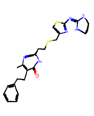 Cc1nc(CCSCc2csc(N=C3NCCN3)n2)[nH]c(=O)c1CCc1ccccc1